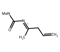 C=CC/C(C)=N/C(=O)NC